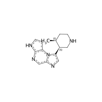 C[C@H]1CCNC[C@H]1c1cnc2cnc3[nH]ccc3n12